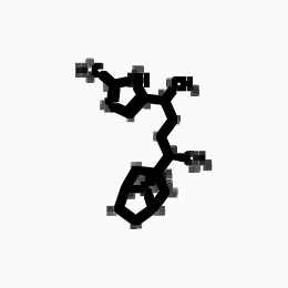 Cc1ncc(C(C)CC[C@@H](C)C2CC3CCC(C2)N3C)[nH]1